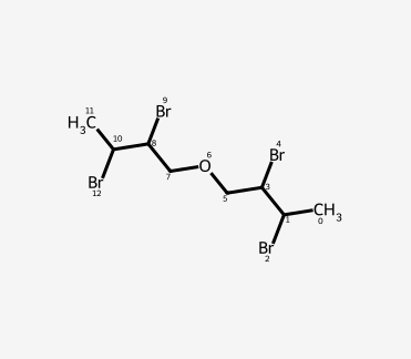 CC(Br)C(Br)COCC(Br)C(C)Br